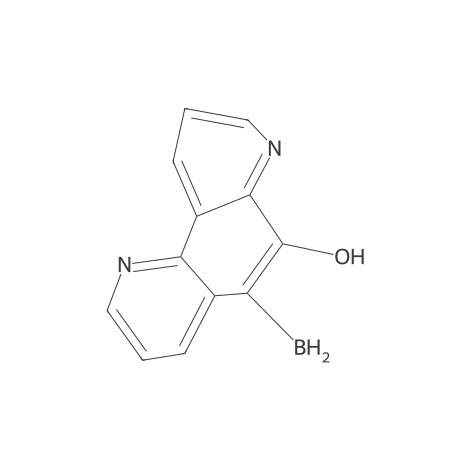 Bc1c(O)c2ncccc2c2ncccc12